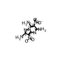 Nc1nc2c([N+](=O)[O-])c(N)nn2c(N)c1[N+](=O)[O-]